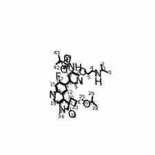 CC(C)NCCOc1ncc(-c2cc3c(cc2F)ncc2c3[C@]3(C[C@@H](COC(C)C)C3)C(=O)N2C)cc1NS(=O)(=O)C(C)C